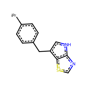 CC(C)c1ccc(Cc2c[nH]c3ncsc23)cc1